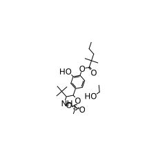 CCCC(C)(C)C(=O)Oc1ccc(C(OS(C)(=O)=O)C(N)C(C)(C)C)cc1O.CCO